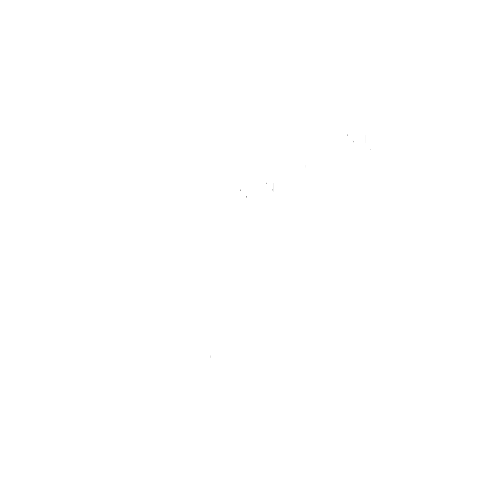 COc1cc(OC(F)F)c2[nH]nc(-c3cc(F)ccc3C(N)=O)c2c1